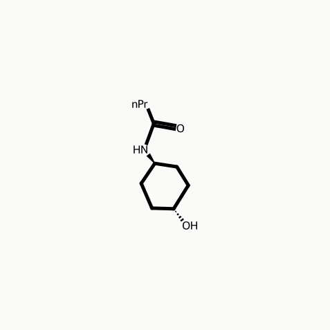 CCCC(=O)N[C@H]1CC[C@H](O)CC1